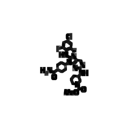 COC(=O)N1CCCC(Nc2ncc3nc(Nc4c(F)cc(Cl)cc4F)n(C4CCC(C(N)=O)CC4)c3n2)C1